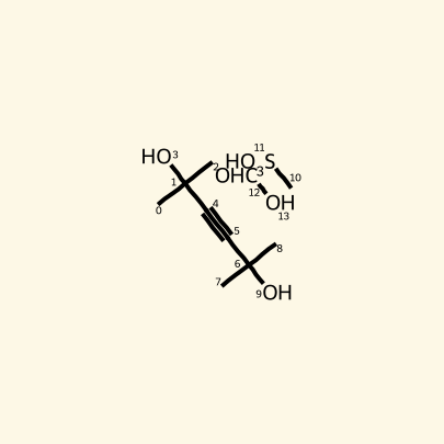 CC(C)(O)C#CC(C)(C)O.CS(=O)(=O)O.O=CO